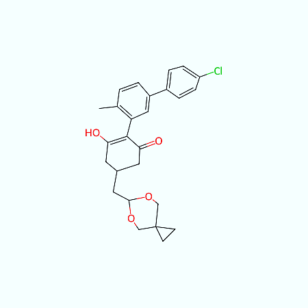 Cc1ccc(-c2ccc(Cl)cc2)cc1C1=C(O)CC(CC2OCC3(CC3)CO2)CC1=O